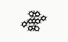 CC12CCCCC1(C)N(c1c3ccc(-c4ccccc4)cc3c(N3c4ccccc4C4(C)CCCCC34C)c3ccc(-c4ccccc4)cc13)c1ccccc12